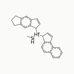 C[SiH](C)[Hf]([CH]1C=Cc2cc3c(cc21)CCC3)[CH]1C=Cc2c1ccc1ccccc21